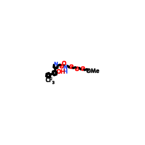 COCCOCCOCCOCCNC(=O)OCc1cc(-c2cc(-c3cccc(C(F)(F)F)c3)ccc2O)ccn1